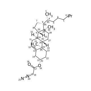 CC(C)CCC[C@@H](C)[C@H]1CC[C@H]2[C@@H]3CC=C4C[C@@H](OC(=O)C=[N+]=[N-])CC[C@]4(C)[C@H]3CC[C@]12C